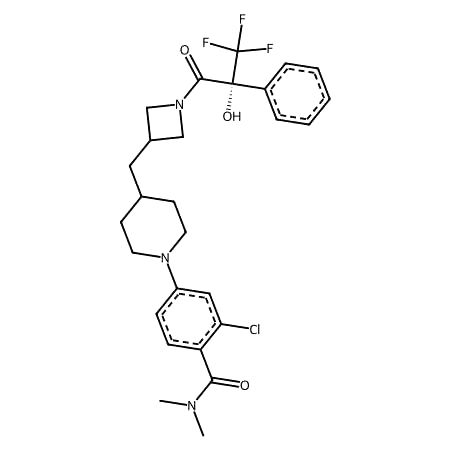 CN(C)C(=O)c1ccc(N2CCC(CC3CN(C(=O)[C@](O)(c4ccccc4)C(F)(F)F)C3)CC2)cc1Cl